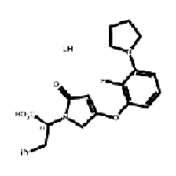 CC(C)C[C@@H](C(=O)O)N1CC(Oc2cccc(N3CCCC3)c2F)=CC1=O.[LiH]